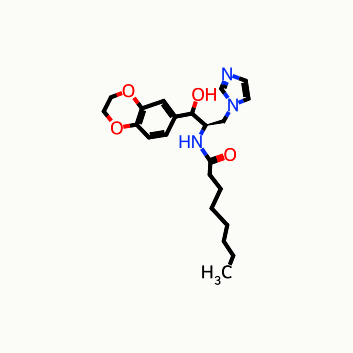 CCCCCCCC(=O)N[C@H](Cn1ccnc1)C(O)c1ccc2c(c1)OCCO2